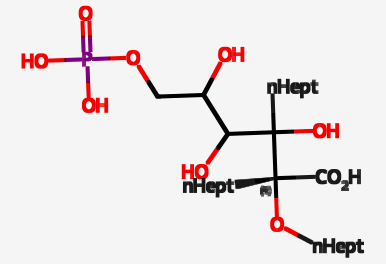 CCCCCCCO[C@@](CCCCCCC)(C(=O)O)C(O)(CCCCCCC)C(O)C(O)COP(=O)(O)O